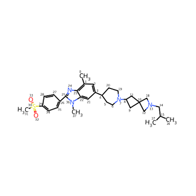 Cc1cc(C2CCN(C3CC4(C3)CN(CC(C)C)C4)CC2)cc2c1nc(-c1ccc(S(C)(=O)=O)cc1)n2C